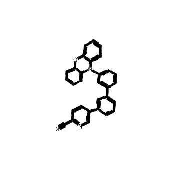 N#Cc1ccc(-c2cccc(-c3cccc(N4c5ccccc5Oc5ccccc54)c3)c2)cn1